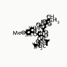 C=CC1CC1N(C(=O)NS(=O)(=O)C1CC1)C(=O)C1CC(Oc2nccc3cc(OC)ccc23)CN1C(=O)C(CCC(=O)C=C(C)C)NC(=O)OC(C)(C)C